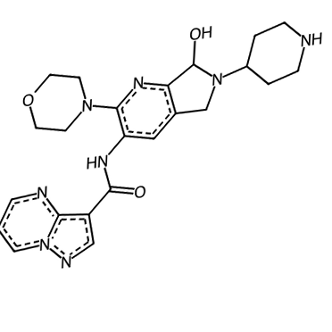 O=C(Nc1cc2c(nc1N1CCOCC1)C(O)N(C1CCNCC1)C2)c1cnn2cccnc12